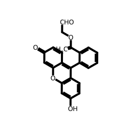 C=C(OCC=O)c1ccccc1-c1c2ccc(=O)cc-2oc2cc(O)ccc12